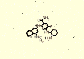 CNc1cc(Nc2nc(NC3CCCCC3N)c(F)cc2C(N)=O)cc2cccnc12